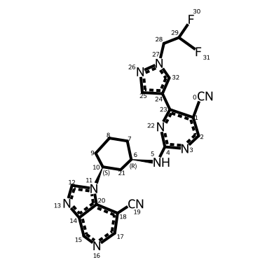 N#Cc1cnc(N[C@@H]2CCC[C@H](n3cnc4cncc(C#N)c43)C2)nc1-c1cnn(CC(F)F)c1